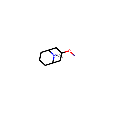 CN1C2CCCC1CC(OI)C2